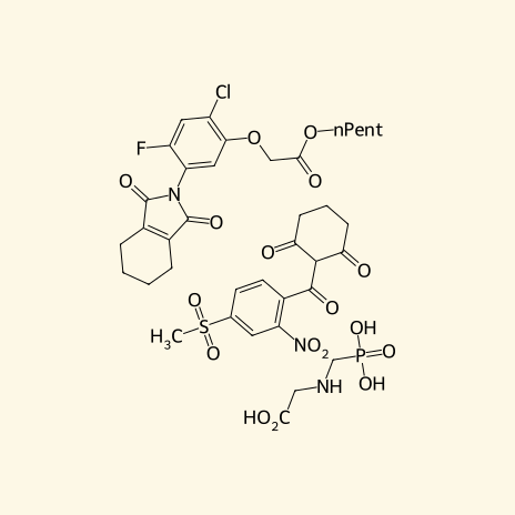 CCCCCOC(=O)COc1cc(N2C(=O)C3=C(CCCC3)C2=O)c(F)cc1Cl.CS(=O)(=O)c1ccc(C(=O)C2C(=O)CCCC2=O)c([N+](=O)[O-])c1.O=C(O)CNCP(=O)(O)O